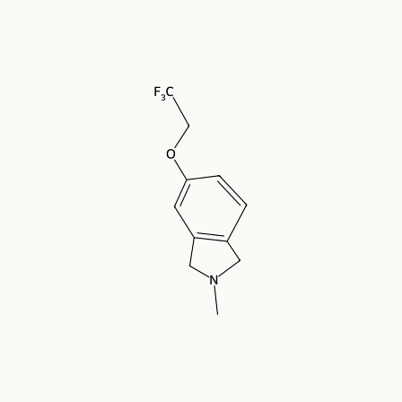 CN1Cc2ccc(OCC(F)(F)F)cc2C1